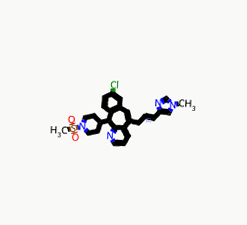 Cn1cnc(/C=C/CC2=Cc3cc(Cl)ccc3C(C3CCN(S(C)(=O)=O)CC3)c3ncccc32)c1